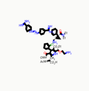 CC(=O)NCC(=O)O.CCN(CC)C(=O)[C@]1(c2ccccc2)C[C@@H]1CN.CCOC(=O)C1=C(COCCN)NC(C)=C(C(=O)OC)C1c1ccccc1Cl.N=C(N)c1ccc(/N=N/Nc2ccc(C(=N)N)cc2)cc1